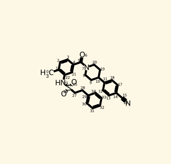 Cc1ccc(C(=O)N2CCC(c3ccc(C#N)cc3)CC2)cc1NS(=O)(=O)CCc1ccccc1